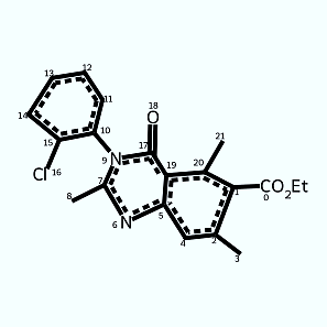 CCOC(=O)c1c(C)cc2nc(C)n(-c3ccccc3Cl)c(=O)c2c1C